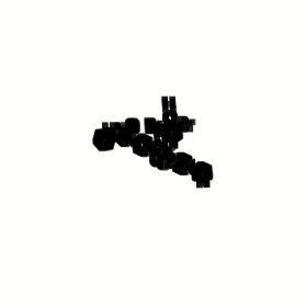 O=C(N[C@H](Cc1cc(Br)c(O)c(Br)c1)C(=O)N1CCN(c2cccnc2)CC1)N1CCC(n2cc(-c3ccccc3)[nH]c2=O)CC1